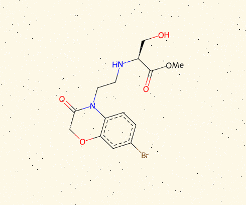 COC(=O)[C@H](CO)NCCN1C(=O)COc2cc(Br)ccc21